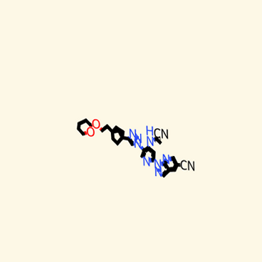 C[C@H](C#N)Nc1cc(-n2ncc3cc(C#N)cnc32)ncc1-n1cc(C23CCC(CCOC4CCCCO4)(CC2)C3)nn1